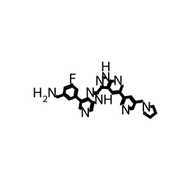 NCc1cc(F)cc(-c2cncc3[nH]c(-c4n[nH]c5ncc(-c6cncc(CN7CCCC7)c6)cc45)nc23)c1